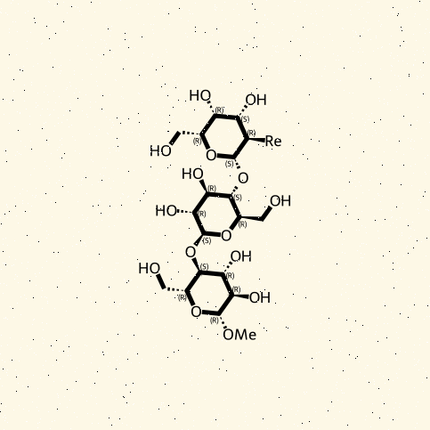 CO[C@@H]1O[C@H](CO)[C@@H](O[C@@H]2O[C@H](CO)[C@@H](O[C@@H]3O[C@H](CO)[C@H](O)[C@H](O)[C@H]3[Re])[C@H](O)[C@H]2O)[C@H](O)[C@H]1O